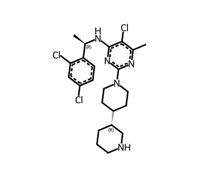 Cc1nc(N2CCC([C@H]3CCCNC3)CC2)nc(N[C@H](C)c2ccc(Cl)cc2Cl)c1Cl